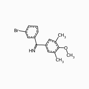 COc1c(C)cc(C(=N)c2cccc(Br)c2)cc1C